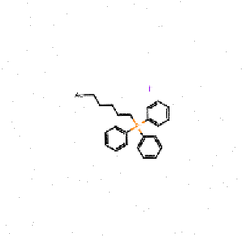 CC(=O)CCCC=C[P+](c1ccccc1)(c1ccccc1)c1ccccc1.[I-]